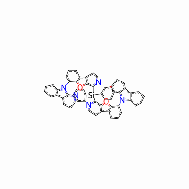 c1ccc([Si](c2ccccc2)(c2nccc3c2oc2c(-n4c5ccccc5c5ccccc54)cccc23)c2nccc3c2oc2c(-n4c5ccccc5c5cccnc54)cccc23)cc1